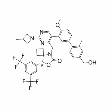 COc1ccc(-c2ccc(CO)cc2C)cc1-c1cnc(N2CC(C)C2)nc1CN1C(=O)O[C@H](c2cc(C(F)(F)F)cc(C(F)(F)F)c2)C12CCC2